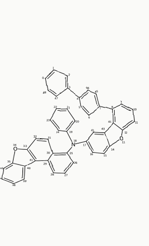 c1ccc(-c2ccc(-c3cccc4oc5ccc(N(c6ccccc6)c6cccc7c6ccc6oc8ccccc8c67)cc5c34)cc2)cc1